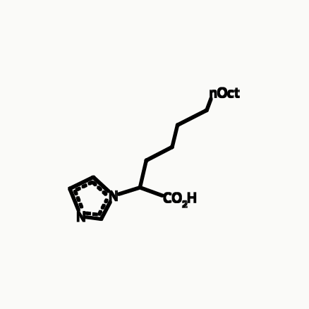 CCCCCCCCCCCCC(C(=O)O)n1ccnc1